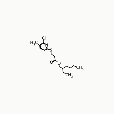 CCCCC(CC)COC(=O)CCSc1ccc(C)c(Cl)n1